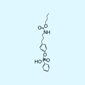 CCCCOC(=O)NCCCc1ccc(OC[P@](=O)(O)c2ccccc2)cc1